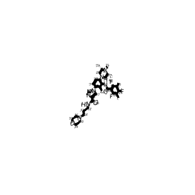 Cc1c(F)c(C)c(F)c(C(=O)Nc2c(N3C[C@@H](C)N(C)[C@@H](C)C3)ccc(-n3cc(C(=O)NCCCN4CCOCC4)nn3)c2C)c1F